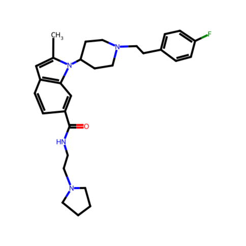 Cc1cc2ccc(C(=O)NCCN3CCCC3)cc2n1C1CCN(CCc2ccc(F)cc2)CC1